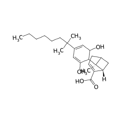 CCCCCCC(C)(C)C1=CC(O)C([C@@]2(C)C3CC=C(C(=O)O)[C@H]2C3)C(O)=C1